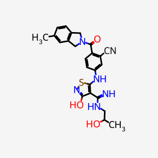 Cc1ccc2c(c1)CN(C(=O)c1ccc(Nc3snc(O)c3C(=N)NCC(C)O)cc1C#N)C2